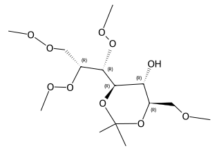 COC[C@H]1OC(C)(C)O[C@@H]([C@@H](OOC)[C@@H](COOC)OOC)[C@@H]1O